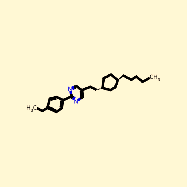 CCCCC[C@H]1CC[C@H](CCc2cnc(-c3ccc(CC)cc3)nc2)CC1